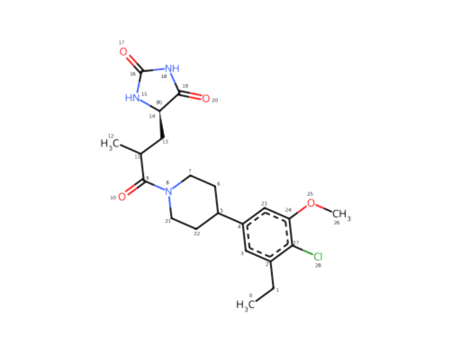 CCc1cc(C2CCN(C(=O)C(C)C[C@H]3NC(=O)NC3=O)CC2)cc(OC)c1Cl